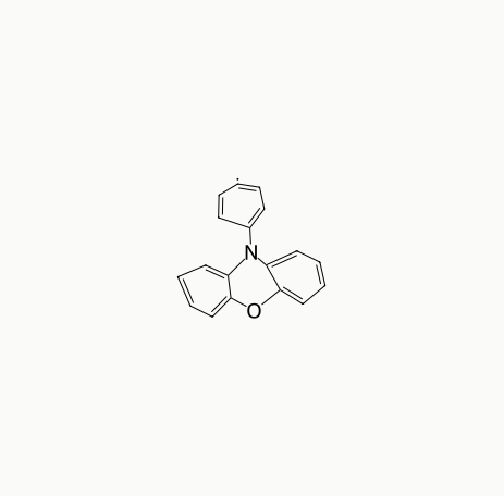 [c]1ccc(N2c3ccccc3Oc3ccccc32)cc1